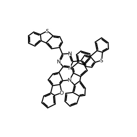 c1ccc2cc3c(cc2c1)c1ccc2ccccc2c1n3-c1c(-c2nc(-c3ccc4sc5ccccc5c4c3)nc(-c3ccc4sc5ccccc5c4c3)n2)ccc2c1oc1ccccc12